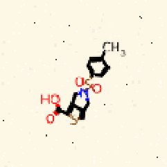 Cc1ccc(S(=O)(=O)N2Cc3csc(C(=O)O)c3C2)cc1